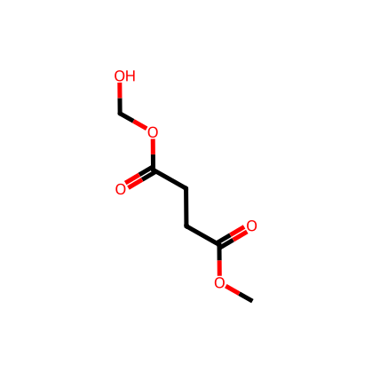 COC(=O)CCC(=O)OCO